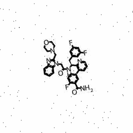 NC(=O)c1cc(-c2cccnc2[C@H](Cc2cc(F)cc(F)c2)NC(=O)Cn2c(CN3CCOCC3)nc3ccccc32)ccc1F